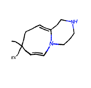 CCC1(C)C=CN2CCNCC2=CC1